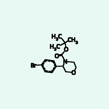 CC(C)(C)OC(=O)N1CCOCC1c1ccc(Br)cc1